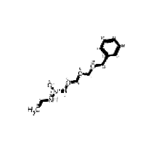 CCN/[N+]([O-])=N/OCOCOCc1ccccc1